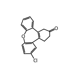 O=C1CCC2=C(C1)c1ccccc1Oc1ccc(Cl)cc12